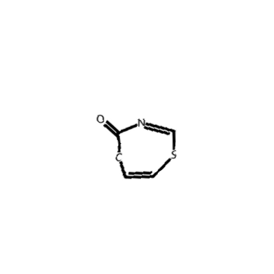 O=C1CC=CSC=N1